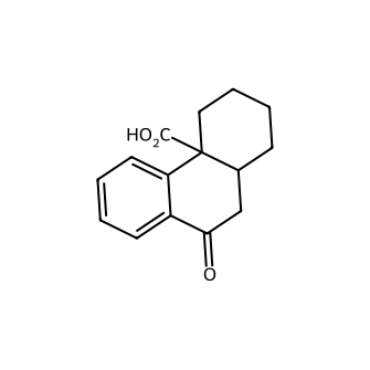 O=C1CC2CCCCC2(C(=O)O)c2ccccc21